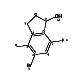 Cc1c(Br)cc(F)c2c1CCC2O